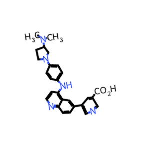 CN(C)C1CCN(c2ccc(Nc3ccnc4ccc(-c5cncc(C(=O)O)c5)cc34)cc2)C1